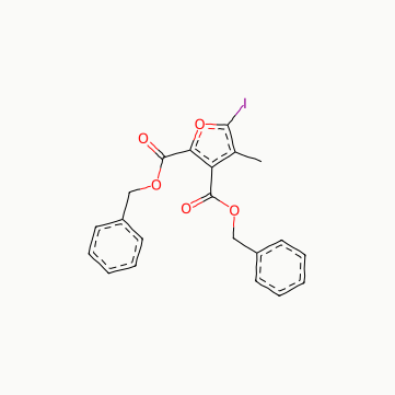 Cc1c(I)oc(C(=O)OCc2ccccc2)c1C(=O)OCc1ccccc1